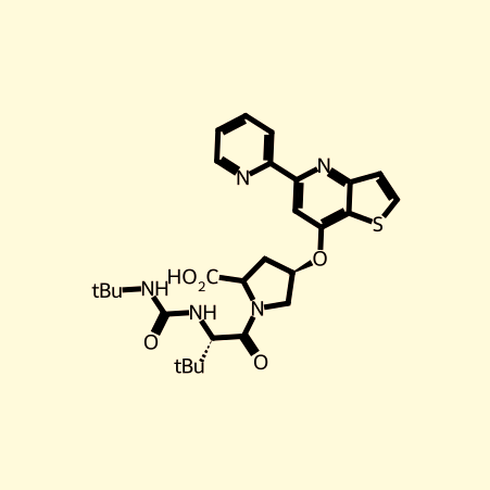 CC(C)(C)NC(=O)N[C@H](C(=O)N1C[C@H](Oc2cc(-c3ccccn3)nc3ccsc23)CC1C(=O)O)C(C)(C)C